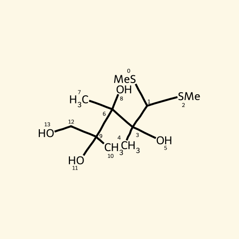 CSC(SC)C(C)(O)C(C)(O)C(C)(O)CO